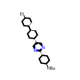 CCCC[C@H]1CC[C@H](c2ncc([C@H]3CC[C@H]([C@H]4CC[C@H](CC)CC4)CC3)cn2)CC1